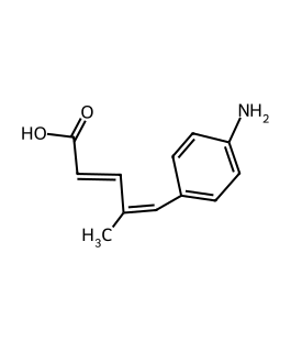 CC(C=CC(=O)O)=Cc1ccc(N)cc1